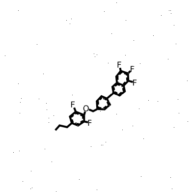 CCCc1cc(F)c(OCc2ccc(-c3ccc4c(F)c(F)c(F)cc4c3)cc2)c(F)c1